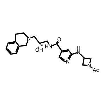 CC(=O)N1CC(Nc2cc(C(=O)NC[C@H](O)CN3CCc4ccccc4C3)ccn2)C1